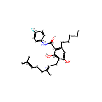 CCCCCc1cc(O)c(C/C=C(\C)CCC=C(C)C)c(O)c1C(=O)Nc1ccc(F)cc1